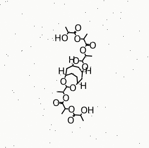 CC(O)C(=O)OC(C)C(=O)OC(C)C1O[C@@H]2C[C@@H](C[C@H]3CC[C@@H](C2)OC(C(C)OC(=O)C(C)OC(=O)C(C)O)O3)O1